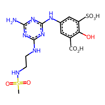 CS(=O)(=O)NCCNc1nc(N)nc(Nc2cc(C(=O)O)c(O)c(S(=O)(=O)O)c2)n1